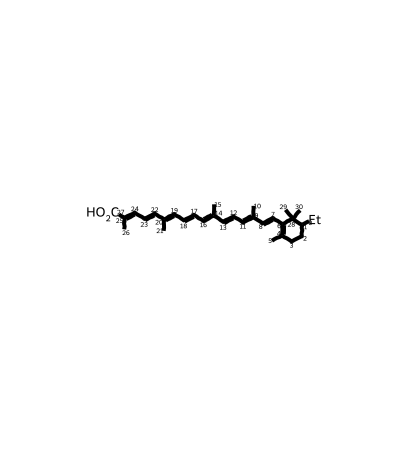 CCC1CCC(C)=C(/C=C/C(C)=C/C=C/C(C)=C/C=C/C=C(C)/C=C/C=C(\C)C(=O)O)C1(C)C